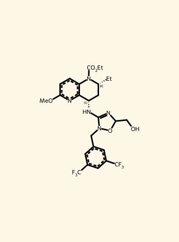 CCOC(=O)N1c2ccc(OC)nc2[C@@H](NC2=NC(CO)ON2Cc2cc(C(F)(F)F)cc(C(F)(F)F)c2)C[C@H]1CC